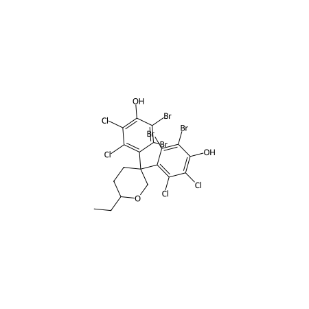 CCC1CCC(c2c(Cl)c(Cl)c(O)c(Br)c2Br)(c2c(Cl)c(Cl)c(O)c(Br)c2Br)CO1